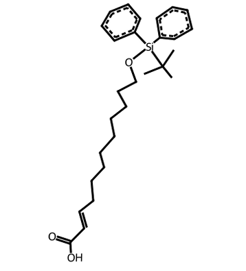 CC(C)(C)[Si](OCCCCCCCCC/C=C/C(=O)O)(c1ccccc1)c1ccccc1